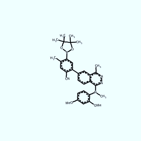 COc1ccc(N(C)c2nnc(C)c3cc(-c4cc(B5OC(C)(C)C(C)(C)O5)c(C)cc4C#N)ccc23)c(OC)c1